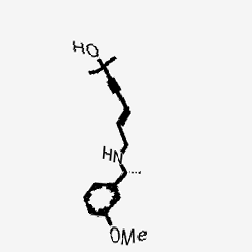 COc1cccc([C@@H](C)NC/C=C/C#CC(C)(C)O)c1